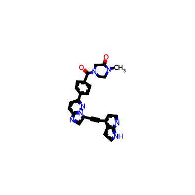 CN1CCN(C(=O)c2ccc(-c3ccc4ncc(C#Cc5ccnc6[nH]ccc56)n4n3)cc2)CC1=O